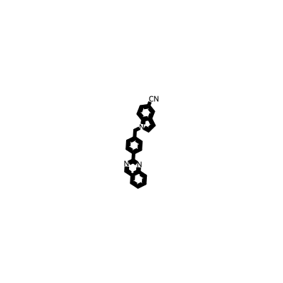 N#Cc1ccc2c(ccn2Cc2ccc(-c3ncc4ccccc4n3)cc2)c1